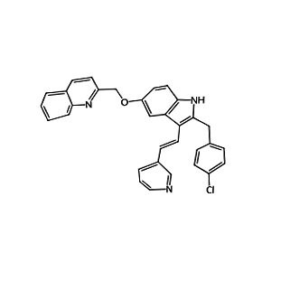 Clc1ccc(Cc2[nH]c3ccc(OCc4ccc5ccccc5n4)cc3c2C=Cc2cccnc2)cc1